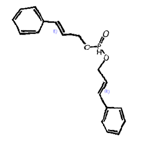 O=[PH](OC/C=C/c1ccccc1)OC/C=C/c1ccccc1